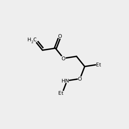 C=CC(=O)OCC(CC)ONCC